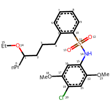 CCCC(CCCc1ccccc1S(=O)(=O)Nc1cc(OC)c(Cl)cc1OC)OCC